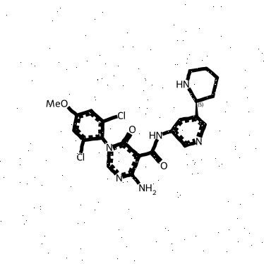 COc1cc(Cl)c(-n2cnc(N)c(C(=O)Nc3cncc([C@@H]4CCCCN4)c3)c2=O)c(Cl)c1